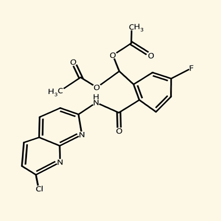 CC(=O)OC(OC(C)=O)c1cc(F)ccc1C(=O)Nc1ccc2ccc(Cl)nc2n1